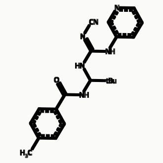 Cc1ccc(C(=O)NC(NC(=NC#N)Nc2cccnc2)C(C)(C)C)cc1